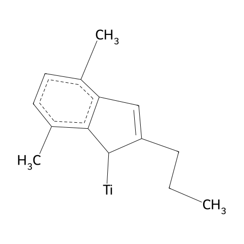 CCCC1=Cc2c(C)ccc(C)c2[CH]1[Ti]